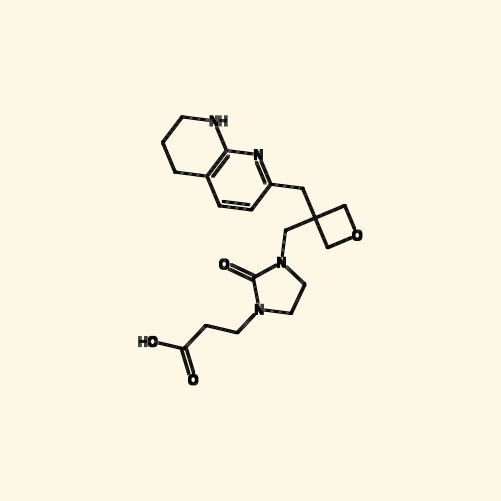 O=C(O)CCN1CCN(CC2(Cc3ccc4c(n3)NCCC4)COC2)C1=O